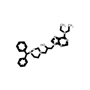 CCN(CC)c1ncnc2c1ncn2CC(O)CN1CCN(C(c2ccccc2)c2ccccc2)CC1